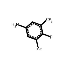 CC(=O)c1cc(N)cc(C(F)(F)F)c1F